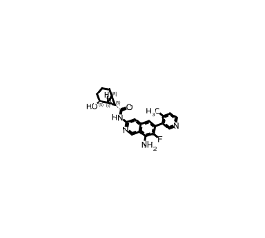 Cc1ccncc1-c1cc2cc(NC(=O)[C@H]3[C@@H]4CCC[C@H](O)[C@@H]43)ncc2c(N)c1F